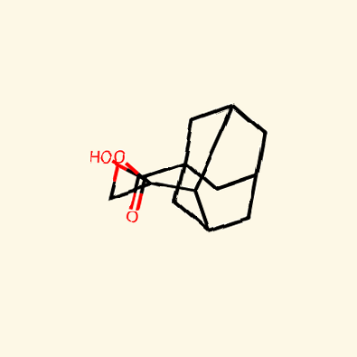 O=C(O)C12CC3CC(C1)C(C1CO1)C(C3)C2